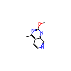 COc1nc(C)c2ccncc2n1